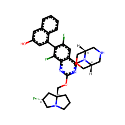 Oc1cc(-c2c(F)cc3c(N4[C@@H]5CNC[C@H]4COC5)nc(OC[C@@]45CCCN4C[C@H](F)C5)nc3c2F)c2ccccc2c1